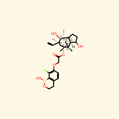 C=C[C@]1(C)C[C@@H](OC(=O)COc2ccc3c(c2F)B(O)OCC3)[C@]2(C)[C@H](C)CC[C@]3(CCC(O)[C@H]32)[C@@H](C)[C@@H]1O